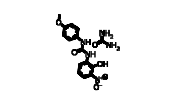 COc1ccc(NC(=O)Nc2cccc([N+](=O)[O-])c2O)cc1.NC(N)=O